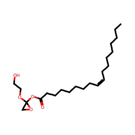 CCCCCCCC/C=C\CCCCCCCC(=O)OC1(OCCO)CO1